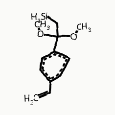 C=Cc1ccc(C(C[SiH3])(OC)OC)cc1